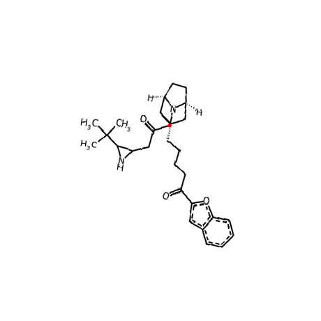 CC(C)(C)C1NC1CC(=O)CN1[C@@H]2CC[C@H]1C[C@H](CCCCC(=O)c1cc3ccccc3o1)C2